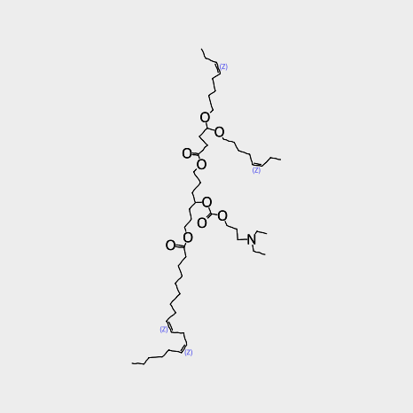 CC/C=C\CCCCOC(CCC(=O)OCCCC(CCCOC(=O)CCCCCCC/C=C\C/C=C\CCCCC)OC(=O)OCCCN(CC)CC)OCCCC/C=C\CC